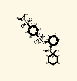 CN(c1ccccc1NS(=O)(=O)c1ccc(S(=O)(=O)N(C)C)cc1)C1(C)CCCCC1